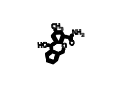 Cc1cc(C(N)=O)c2c(c1)C(O)c1ccccc1CO2